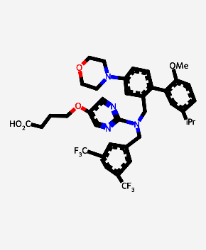 COc1ccc(C(C)C)cc1-c1ccc(N2CCOCC2)cc1CN(Cc1cc(C(F)(F)F)cc(C(F)(F)F)c1)c1ncc(OCCCC(=O)O)cn1